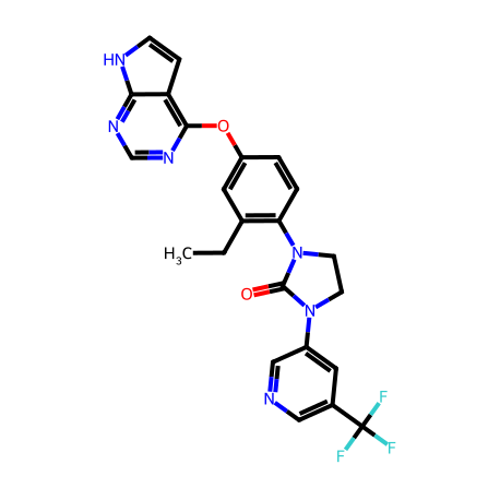 CCc1cc(Oc2ncnc3[nH]ccc23)ccc1N1CCN(c2cncc(C(F)(F)F)c2)C1=O